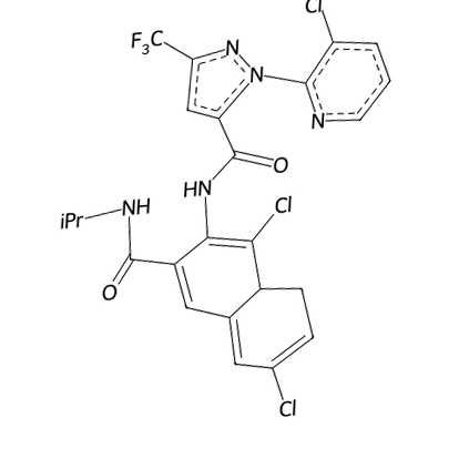 CC(C)NC(=O)C1=CC2=CC(Cl)=CCC2C(Cl)=C1NC(=O)c1cc(C(F)(F)F)nn1-c1ncccc1Cl